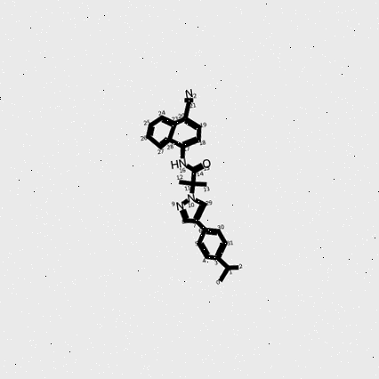 CC(C)c1ccc(-c2cnn(C(C)(C)C(=O)Nc3ccc(C#N)c4ccccc34)c2)cc1